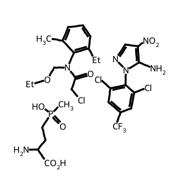 CCOCN(C(=O)CCl)c1c(C)cccc1CC.CP(=O)(O)CCC(N)C(=O)O.Nc1c([N+](=O)[O-])cnn1-c1c(Cl)cc(C(F)(F)F)cc1Cl